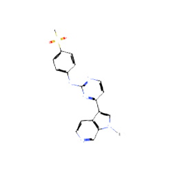 CC(C)n1cc(-c2ccnc(Nc3ccc(S(C)(=O)=O)cc3)n2)c2ccncc21